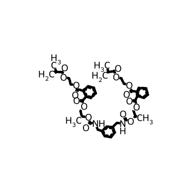 C=C(C)C(=O)OCCOC(=O)c1ccccc1C(=O)OCC(C)OC(=O)NCc1cccc(CNC(=O)OC(C)COC(=O)c2ccccc2C(=O)OCCOC(=O)C(=C)C)c1